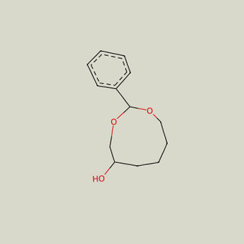 OC1CCCCOC(c2ccccc2)OC1